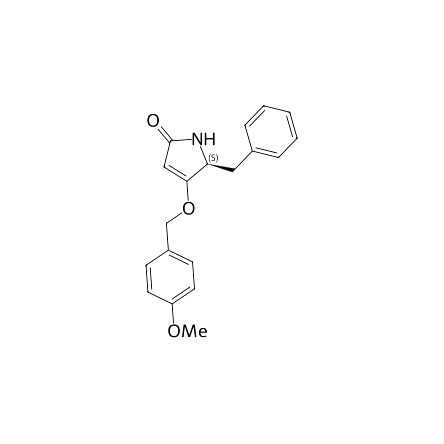 COc1ccc(COC2=CC(=O)N[C@H]2Cc2ccccc2)cc1